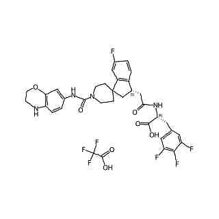 O=C(C[C@@H]1CC2(CCN(C(=O)Nc3ccc4c(c3)OCCN4)CC2)c2cc(F)ccc21)N[C@H](Cc1cc(F)c(F)c(F)c1)C(=O)O.O=C(O)C(F)(F)F